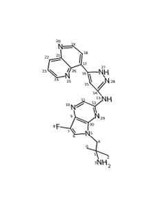 CC(C)(N)Cn1cc(F)c2ncc(Nc3cc(-c4ccnc5cccnc45)[nH]n3)nc21